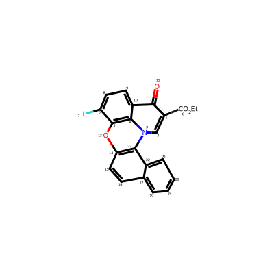 CCOC(=O)c1cn2c3c(c(F)ccc3c1=O)Oc1ccc3ccccc3c1-2